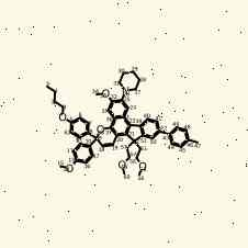 CCCCOc1ccc(C2(c3ccc(OC)cc3)C=Cc3c4c(c5cc(N6CCCCC6)c(OC)cc5c3O2)-c2ccc(-c3ccc(C)cc3)cc2C4(CCOC)CCOC)cc1